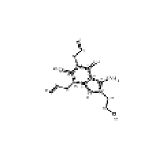 C=CCn1c(=O)c2c(N)n(CCCl)nc2n(CC=C)c1=O